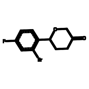 O=C1CCC(c2ccc(F)cc2Br)OC1